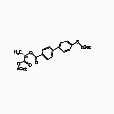 CCCCCCCCCCSc1ccc(-c2ccc(C(=O)O[C@@H](C)C(=O)OCCCCCCCC)cc2)cc1